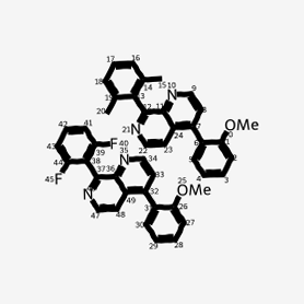 COc1ccccc1-c1ccnc2c(-c3c(C)cccc3C)nccc12.COc1ccccc1-c1ccnc2c(-c3c(F)cccc3F)nccc12